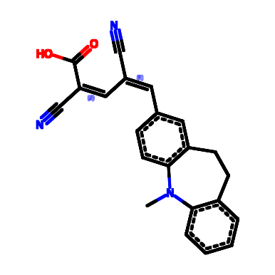 CN1c2ccccc2CCc2cc(/C=C(C#N)\C=C(\C#N)C(=O)O)ccc21